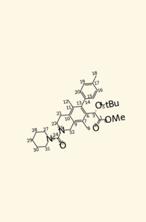 COC(=O)[C@@H](OC(C)(C)C)c1c(C)c2c(c(C)c1-c1ccc(C)cc1)CCN(C(=O)N1CCCCC1)C2